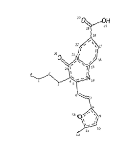 CCCCc1c(/C=C/c2ccc(C)o2)nc2ccc(C(=O)O)cn2c1=O